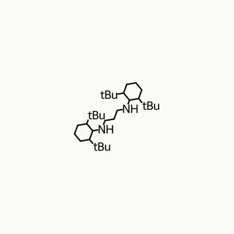 CC(C)(C)C1CCCC(C(C)(C)C)C1NCCCNC1C(C(C)(C)C)CCCC1C(C)(C)C